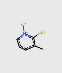 Cc1ccc[n+]([O-])c1S